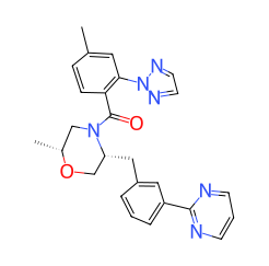 Cc1ccc(C(=O)N2C[C@@H](C)OC[C@H]2Cc2cccc(-c3ncccn3)c2)c(-n2nccn2)c1